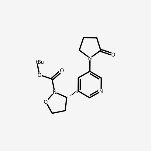 CC(C)(C)OC(=O)N1OCC[C@H]1c1cncc(N2CCCC2=O)c1